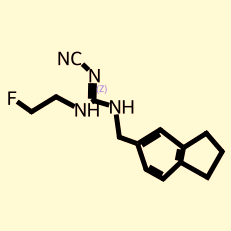 N#C/N=C(\NCCF)NCc1ccc2c(c1)CCC2